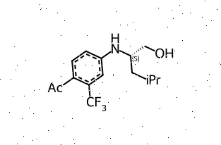 CC(=O)c1ccc(N[C@H](CO)CC(C)C)cc1C(F)(F)F